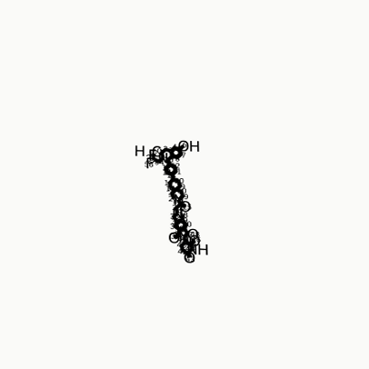 C[C@@H]1Cc2cc(O)ccc2C(c2ccc(C3CCC4(CC3)CCN(C(=O)CN3Cc5cc6c(cc5C3)C(=O)N(C3CCC(=O)NC3=O)C6=O)CC4)cc2)N1CC(F)F